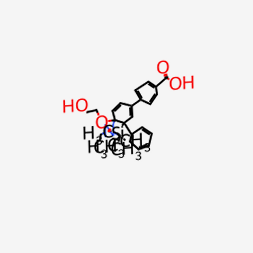 CCN(CC)C1(OCCO)C=CC(c2ccc(C(=O)O)cc2)=CC1(c1ccccc1)[Si](C)(C)C